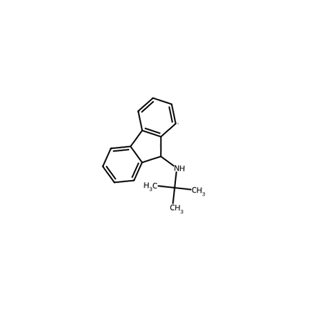 CC(C)(C)NC1c2[c]cccc2-c2ccccc21